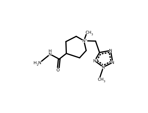 Cn1nnc(C[N+]2(C)CCC(C(=O)NN)CC2)n1